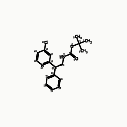 CC(C)(C)OC(=O)NC[C@@H](c1ccccc1)c1cc(Cl)ccn1